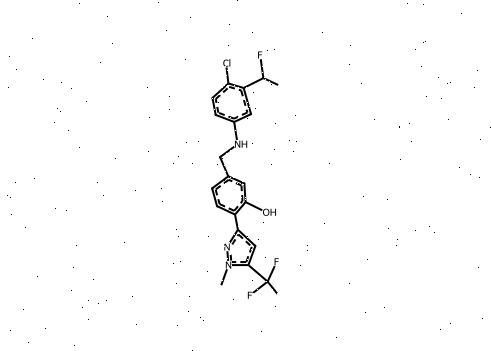 CC(F)c1cc(NCc2ccc(-c3cc(C(C)(F)F)n(C)n3)c(O)c2)ccc1Cl